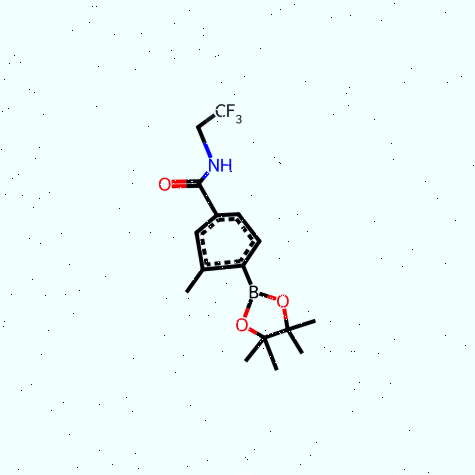 Cc1cc(C(=O)NCC(F)(F)F)ccc1B1OC(C)(C)C(C)(C)O1